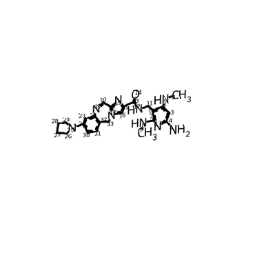 CNc1cc(N)nc(NC)c1CNC(=O)c1cn2c(n1)C=Nc1cc(N3CCCC3)ccc1C2